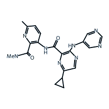 CNC(=O)c1nc(C)ccc1NC(=O)c1nc(C2CC2)cnc1Nc1cncnc1